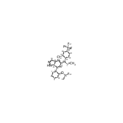 CCN(c1nc(-c2ccccc2OC(F)F)c2[nH]ncc2n1)c1ccc(C(F)(F)F)cc1Cl